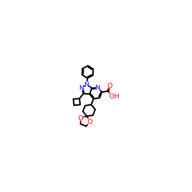 O=C(O)c1cc(C2CCC3(CC2)OCCO3)c2c(C3CCC3)nn(-c3ccccc3)c2n1